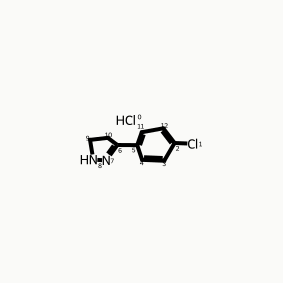 Cl.Clc1ccc(C2=NNCC2)cc1